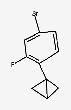 Fc1cc(Br)ccc1C12CC1C2